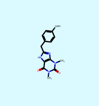 COc1ccc(Cc2nc3c([nH]2)c(=O)n(C)c(=O)n3C)cc1